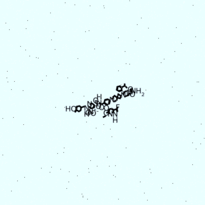 CCOc1nc2[nH]cc(F)c2cc1Oc1cc(N2CCC3(CC2)CC(N2CCN(S(N)(=O)=O)C[C@H]2c2ccccc2C(C)C)C3)ccc1C(=O)NS(=O)(=O)c1cnc(NCC2CCC(C)(O)CC2)c([N+](=O)[O-])c1